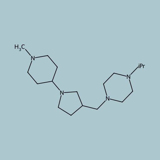 CC(C)N1CCN(CC2CCN(C3CCN(C)CC3)C2)CC1